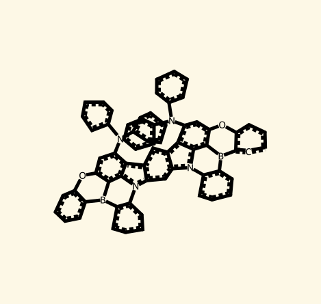 c1ccc(N(c2ccccc2)c2cc3c4c5c2c2cc6c7c(N(c8ccccc8)c8ccccc8)cc8c9c7n(c6cc2n5-c2ccccc2B4c2ccccc2O3)-c2ccccc2B9c2ccccc2O8)cc1